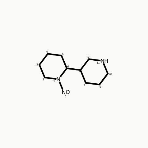 O=NN1CCCCC1C1CCCNC1